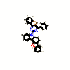 c1ccc(-c2nc(-n3c4ccccc4c4c5oc6ccccc6c5ccc43)nc3c2sc2ccccc23)cc1